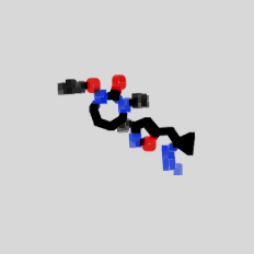 CCCCON1CCC[C@@H](c2cc(CC3(N)CC3)on2)N(CC)C1=O